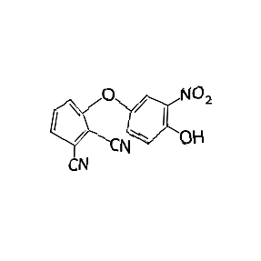 N#Cc1cccc(Oc2ccc(O)c([N+](=O)[O-])c2)c1C#N